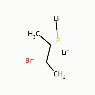 CCCC.[Br-].[Li+].[Li][F]